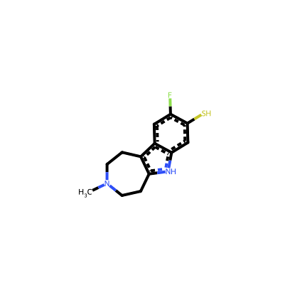 CN1CCc2[nH]c3cc(S)c(F)cc3c2CC1